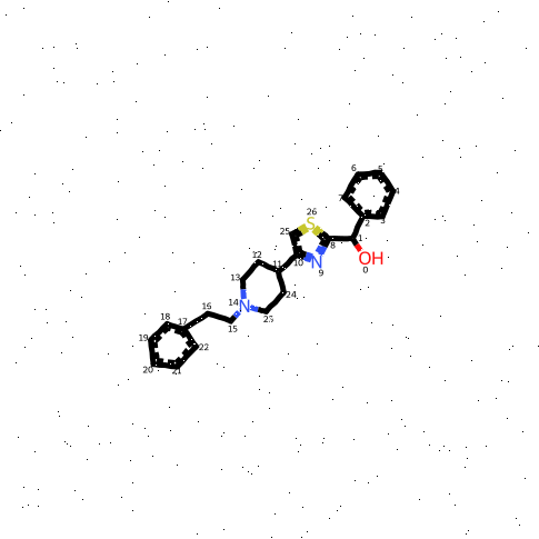 OC(c1ccccc1)c1nc(C2CCN(CCc3ccccc3)CC2)cs1